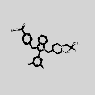 COC(=O)c1ccc(Cc2c(-c3cc(F)cc(F)c3)n(CC3CCN(CC(C)(C)F)CC3)c3ccccc23)cc1